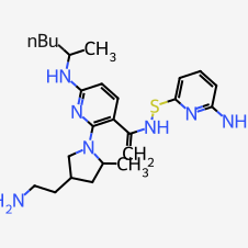 C=C(NSc1cccc(N)n1)c1ccc(NC(C)CCCC)nc1N1CC(CCN)CC1C